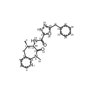 C[C@@H]1Cc2cccnc2N(C)C(=O)[C@@H]1NC(=O)c1nnc(Cc2ccccc2)o1